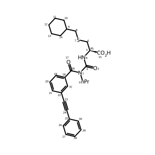 CCCN(C(=O)N[C@@H](CSCC1CCCCC1)C(=O)O)C(=O)c1cccc(C#Cc2ccccc2)c1